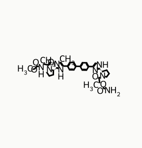 COC(=O)N[C@@H](C)C(=O)N1CCC[C@H]1c1nc(C)c(-c2ccc(-c3ccc(-c4c[nH]c([C@@H]5CCCN5C(=O)[C@H](C)OC(N)=O)n4)cc3)cc2)[nH]1